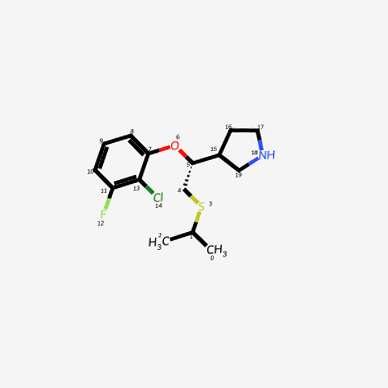 CC(C)SC[C@H](Oc1cccc(F)c1Cl)C1CCNC1